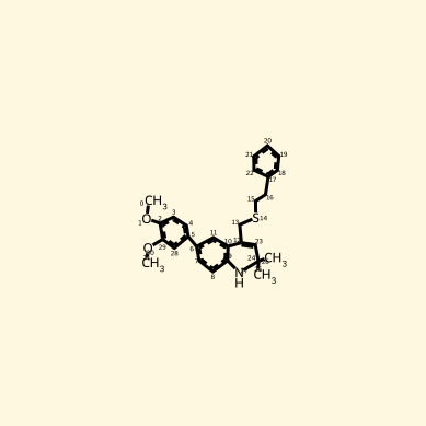 COc1ccc(-c2ccc3c(c2)C(CSCCc2ccccc2)=CC(C)(C)N3)cc1OC